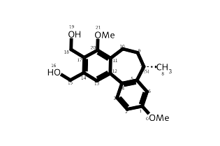 COc1ccc2c(c1)[C@@H](C)CCc1c-2cc(CO)c(CO)c1OC